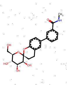 CNC(=O)c1cccc(-c2ccc3c(c2)CC[C@]2(O3)O[C@H](CO)[C@@H](O)[C@H](O)[C@@H]2O)c1